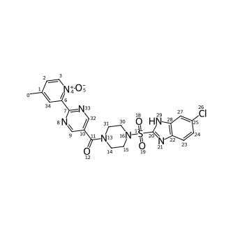 Cc1cc[n+]([O-])c(-c2ncc(C(=O)N3CCN(S(=O)(=O)c4nc5ccc(Cl)cc5[nH]4)CC3)cn2)c1